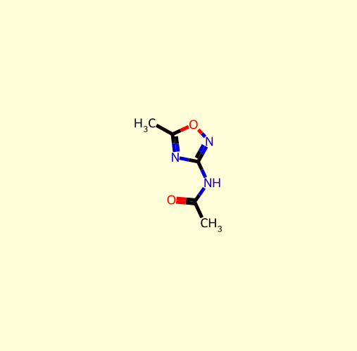 CC(=O)Nc1noc(C)n1